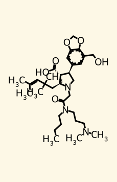 CCCCN(CCCN(C)C)C(=O)CN1C[C@H](c2cc(CO)c3c(c2)OCO3)[C@@H](C(=O)O)[C@@H]1CC(C)(C)C=C(C)C